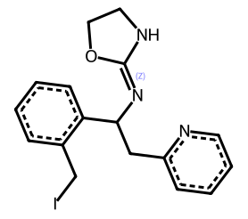 ICc1ccccc1C(Cc1ccccn1)/N=C1/NCCO1